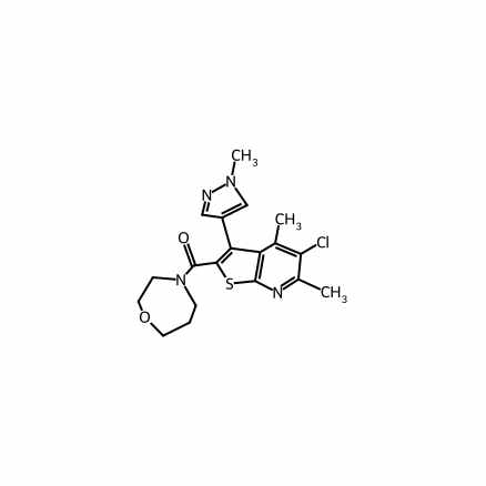 Cc1nc2sc(C(=O)N3CCCOCC3)c(-c3cnn(C)c3)c2c(C)c1Cl